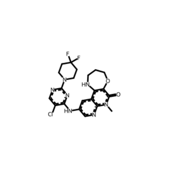 Cn1c(=O)c2c(c3cc(Nc4nc(N5CCC(F)(F)CC5)ncc4Cl)cnc31)NCCCO2